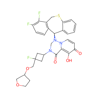 O=C1c2c(O)c(=O)ccn2N([C@@H]2c3ccccc3SCc3c2ccc(F)c3F)CN1C1CC(F)(COC2CCOC2)C1